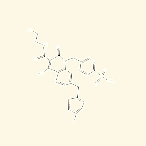 CS(=O)(=O)c1ccc(Cn2c(=O)c(C(=O)NCCO)c(O)c3ncc(Cc4ccc(F)cc4)cc32)cc1